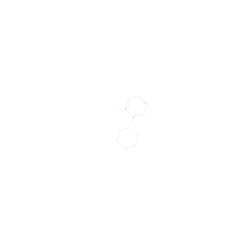 CCCCOc1ccccc1N1CC[N]CC1